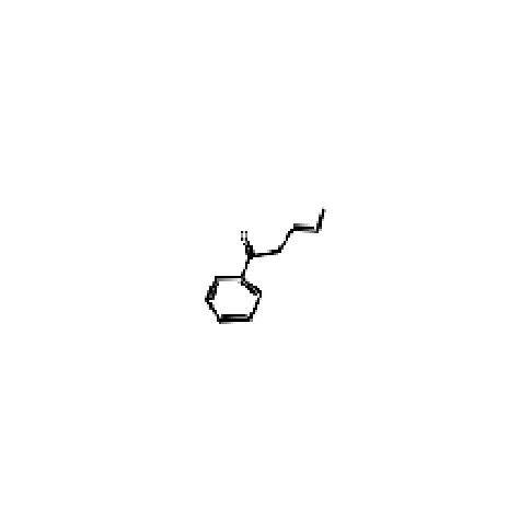 C/C=C/CC(=O)c1ccccc1